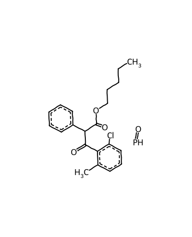 CCCCCOC(=O)C(C(=O)c1c(C)cccc1Cl)c1ccccc1.O=P